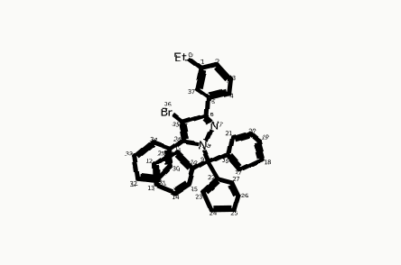 CCc1cccc(-c2nn(C(c3ccccc3)(c3ccccc3)c3ccccc3)c(-c3ccccc3)c2Br)c1